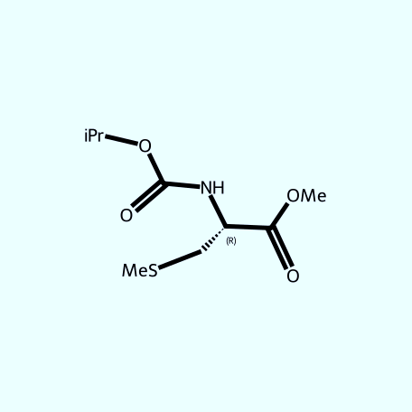 COC(=O)[C@H](CSC)NC(=O)OC(C)C